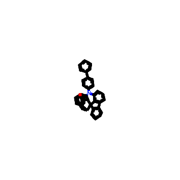 c1ccc(-c2ccc(N(c3ccccc3)c3cccc4c3C3(c5ccccc5-4)C4CC5CC(C4)CC3C5)cc2)cc1